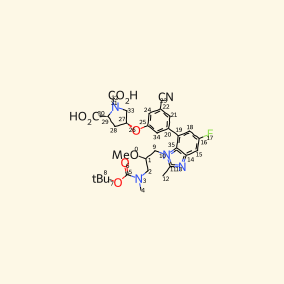 COC(CN(C)C(=O)OC(C)(C)C)Cn1c(C)nc2cc(F)cc(-c3cc(C#N)cc(O[C@H]4C[C@@H](C(=O)O)N(C(=O)O)C4)c3)c21